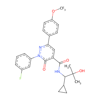 CC(C)(O)C(NC(=O)c1cc(-c2ccc(OC(F)(F)F)cc2)nn(-c2cccc(F)c2)c1=O)C1CC1